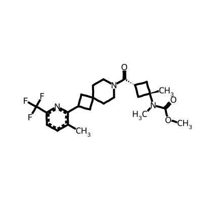 COC(=O)N(C)[C@]1(C)C[C@H](C(=O)N2CCC3(CC2)CC(c2nc(C(F)(F)F)ccc2C)C3)C1